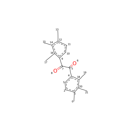 Cc1ccc(C(=O)C(=O)c2ccc(C)c(C)c2C)c(C)c1C